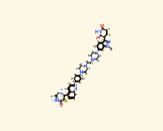 C[C@@H]1CNc2c(sc3ccc4nc(-c5ccc(N6CCN(CCN7CCN(c8ccc9c(C%10CCC(=O)NC%10=O)nn(C)c9c8)CC7)CC6)cc5)ccc4c23)C(=O)N1